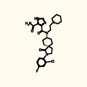 NC(=O)c1[nH]cnc1C(=O)N(CCN1CCCCC1)[C@H]1CC[C@@]2(CCN(c3ccc(F)cc3Cl)C2=O)CC1